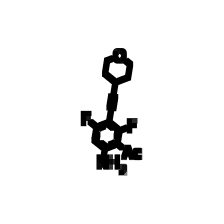 CC(=O)c1c(N)cc(F)c(C#CC2CCOCC2)c1F